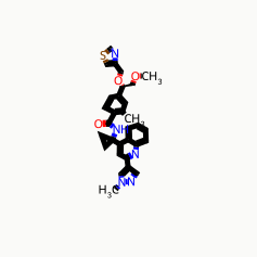 COC[C@H](OCc1cscn1)c1ccc(C(=O)NC2(c3cc(-c4cnn(C)c4)nc4ccccc34)CC2)c(C)c1